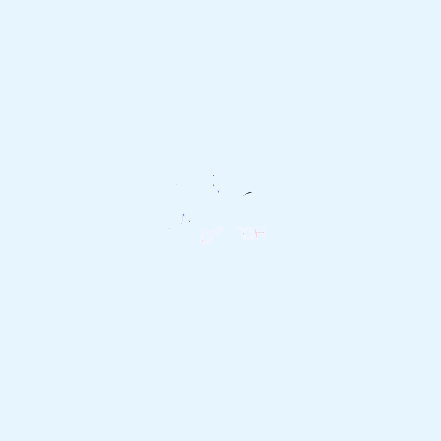 O=C(O)[C@H](Cc1ccccc1)Nc1ccc2ccccc2n1